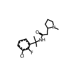 CN1CCCC1CC(=O)NC(C)(C)c1cccc(Cl)c1F